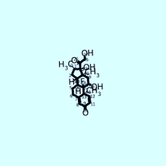 C[C@H]1C[C@H]2[C@@H]3CCC4=CC(=O)C=C[C@]4(C)C3(F)C(O)C[C@]2(C)[C@@]1(O)C(=O)CO